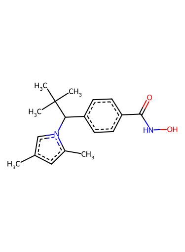 Cc1cc(C)n(C(c2ccc(C(=O)NO)cc2)C(C)(C)C)c1